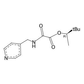 C[C@@H](OC(=O)C(=O)NCc1ccncc1)C(C)(C)C